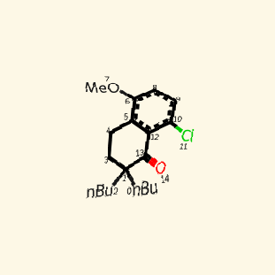 CCCCC1(CCCC)CCc2c(OC)ccc(Cl)c2C1=O